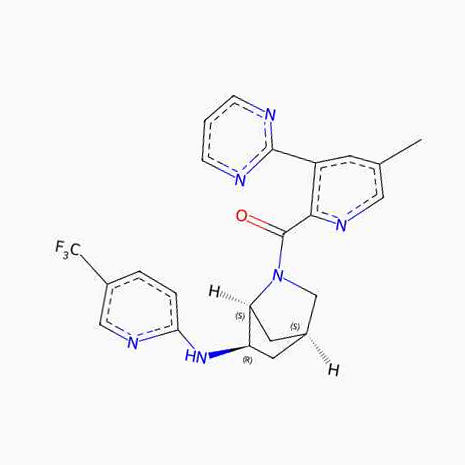 Cc1cnc(C(=O)N2C[C@H]3C[C@@H](Nc4ccc(C(F)(F)F)cn4)[C@@H]2C3)c(-c2ncccn2)c1